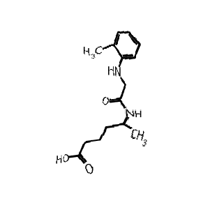 Cc1ccccc1NCC(=O)NC(C)CCCC(=O)O